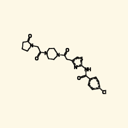 O=C(Nc1nc(CC(=O)N2CCN(C(=O)CN3CCCC3=O)CC2)cs1)c1ccc(Cl)cc1